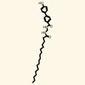 CCCCCCCCCCCCCCCCCC(=O)NCNC(=O)c1ccc(-c2ccc(O)cc2)cc1